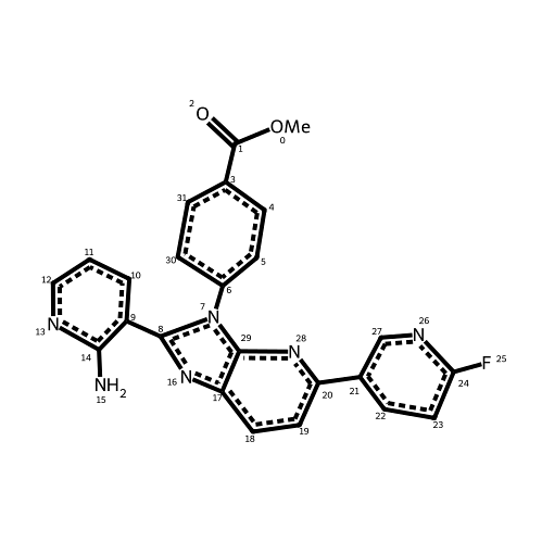 COC(=O)c1ccc(-n2c(-c3cccnc3N)nc3ccc(-c4ccc(F)nc4)nc32)cc1